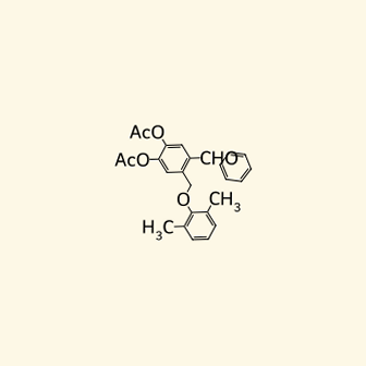 CC(=O)Oc1cc(C=O)c(COc2c(C)cccc2C)cc1OC(C)=O.c1ccccc1